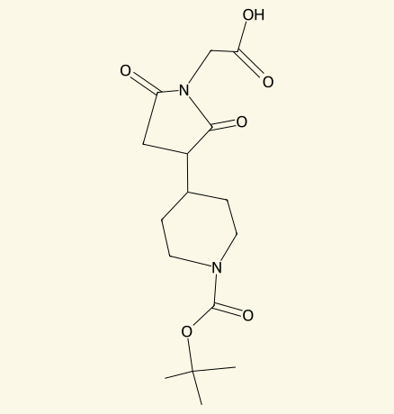 CC(C)(C)OC(=O)N1CCC(C2CC(=O)N(CC(=O)O)C2=O)CC1